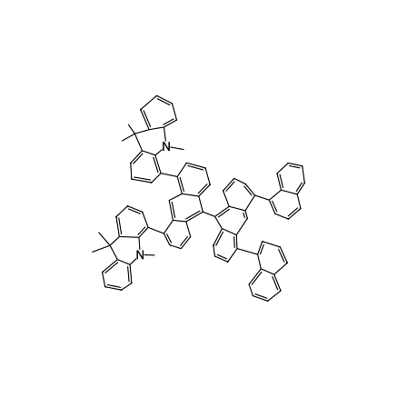 CN1c2ccccc2C(C)(C)c2cccc(-c3cccc4c(-c5c6cccc(-c7cccc8ccccc78)c6cc6c(-c7cccc8ccccc78)cccc56)c5cccc(-c6cccc7c6N(C)c6ccccc6C7(C)C)c5cc34)c21